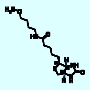 NOCCCCNC(=O)CCCC[C@@H]1SC[C@@H]2NC(=O)N[C@@H]21